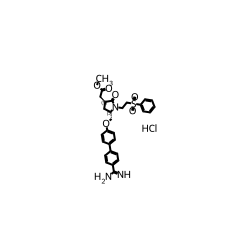 COC(=O)C[C@@H]1C[C@@H](COc2ccc(-c3ccc(C(=N)N)cc3)cc2)N(CCS(=O)(=O)c2ccccc2)C1=O.Cl